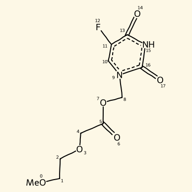 COCCOCC(=O)OCn1cc(F)c(=O)[nH]c1=O